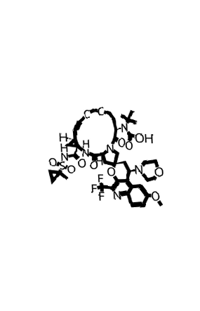 COc1ccc2nc(C(F)(F)F)c3c(c2c1)[C@H](N1CCOCC1)C[C@]1(C[C@H]2C(=O)N[C@]4(C(=O)NS(=O)(=O)C5(C)CC5)C[C@H]4/C=C\CCCCC[C@H](N(C(=O)O)C(C)(C)C)C(=O)N2C1)O3